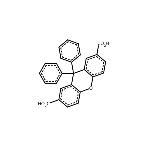 O=C(O)c1ccc2c(c1)C(c1ccccc1)(c1ccccc1)c1cc(C(=O)O)ccc1O2